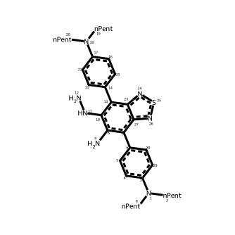 CCCCCN(CCCCC)c1ccc(-c2c(N)c(NN)c(-c3ccc(N(CCCCC)CCCCC)cc3)c3nsnc23)cc1